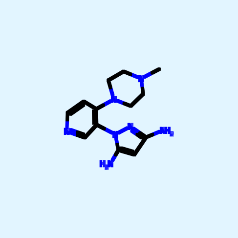 CN1CCN(c2ccncc2-n2nc(N)cc2N)CC1